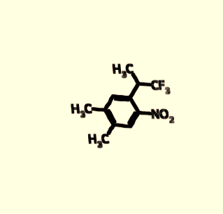 Cc1cc(C(C)C(F)(F)F)c([N+](=O)[O-])cc1C